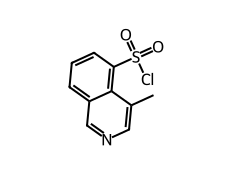 Cc1cncc2cccc(S(=O)(=O)Cl)c12